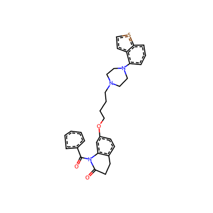 O=C1CCc2ccc(OCCCCN3CCN(c4cccc5sccc45)CC3)cc2N1C(=O)c1ccccc1